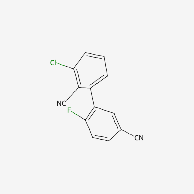 N#Cc1ccc(F)c(-c2cccc(Cl)c2C#N)c1